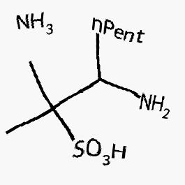 CCCCCC(N)C(C)(C)S(=O)(=O)O.N